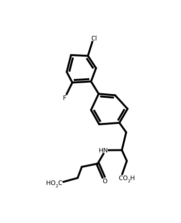 O=C(O)CCC(=O)NC(CC(=O)O)Cc1ccc(-c2cc(Cl)ccc2F)cc1